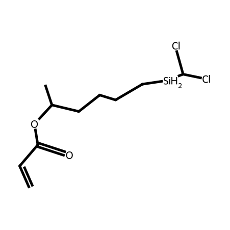 C=CC(=O)OC(C)CCCC[SiH2]C(Cl)Cl